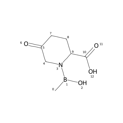 CB(O)N1CC(=O)CCC1C(=O)O